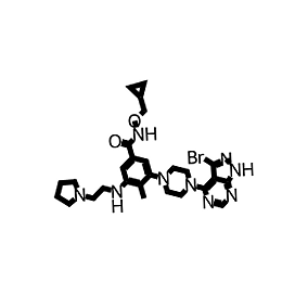 Cc1c(NCCN2CCCC2)cc(C(=O)NOCC2CC2)cc1N1CCN(c2ncnc3[nH]nc(Br)c23)CC1